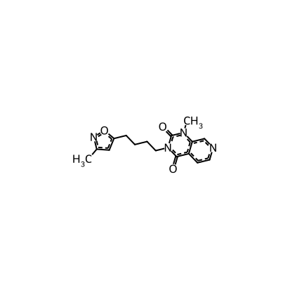 Cc1cc(CCCCn2c(=O)c3ccncc3n(C)c2=O)on1